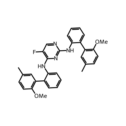 COc1ccc(C)cc1-c1ccccc1Nc1ncc(F)c(Nc2ccccc2-c2cc(C)ccc2OC)n1